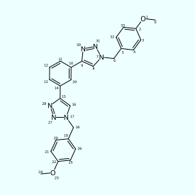 COc1ccc(Cn2cc(-c3cccc(-c4cn(Cc5ccc(OC)cc5)nn4)c3)nn2)cc1